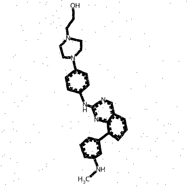 CNc1cccc(-c2cccc3cnc(Nc4ccc(N5CCN(CCO)CC5)cc4)nc23)c1